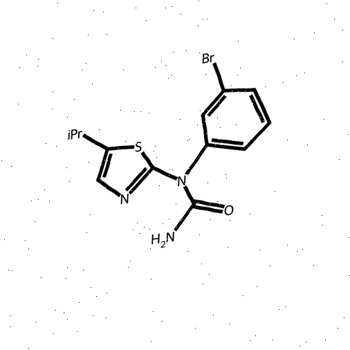 CC(C)c1cnc(N(C(N)=O)c2cccc(Br)c2)s1